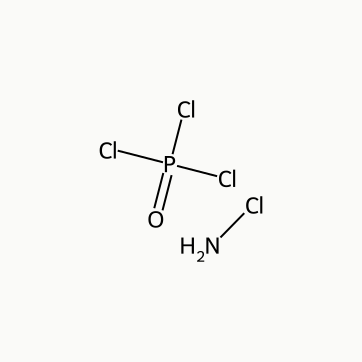 NCl.O=P(Cl)(Cl)Cl